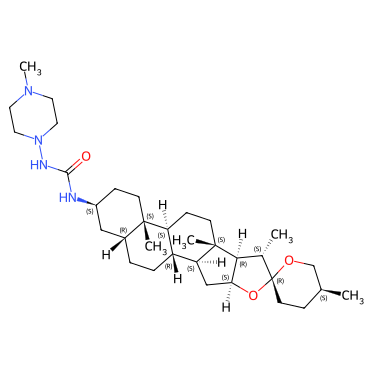 C[C@H]1CC[C@@]2(OC1)O[C@H]1C[C@H]3[C@@H]4CC[C@@H]5C[C@@H](NC(=O)NN6CCN(C)CC6)CC[C@]5(C)[C@H]4CC[C@]3(C)[C@H]1[C@@H]2C